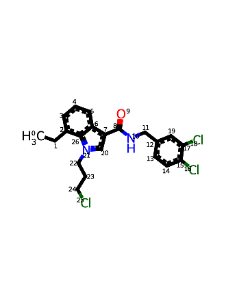 CCc1cccc2c(C(=O)NCc3ccc(Cl)c(Cl)c3)cn(CCCCl)c12